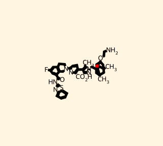 Cc1c(-c2ccc(N3CCc4cc(F)cc(C(=O)Nc5nc6ccccc6s5)c4C3)nc2C(=O)O)cnn1CC12CC3(C)CC(C)(C1)CC(OCCN)(C3)C2